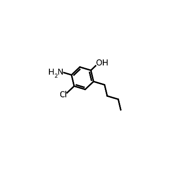 CCCCc1cc(Cl)c(N)cc1O